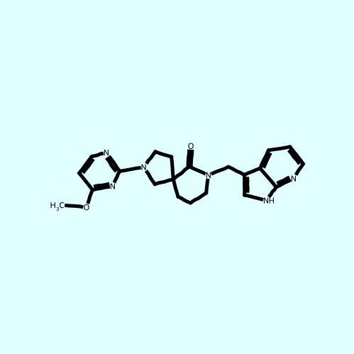 COc1ccnc(N2CCC3(CCCN(Cc4c[nH]c5ncccc45)C3=O)C2)n1